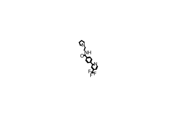 O=C(NCCN1CCCC1)c1ccc(-c2cc(C(F)(F)F)ccn2)cc1